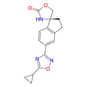 O=C1N[C@]2(CCc3cc(-c4noc(C5CC5)n4)ccc32)CO1